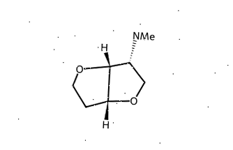 CN[C@@H]1CO[C@@H]2CCO[C@H]12